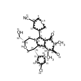 Cn1c(=O)c2c(-c3cccc(C#N)c3)n3c(c2n(C)c1=O)[C@H](c1nc(Cl)cs1)CO[C@H](CO)C3